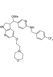 COC(c1ccc(NCc2ccc(C(F)(F)F)cc2)nc1)C1CNc2ncc(OCCN3CCOCC3)cc21